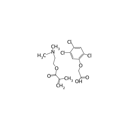 C=C(C)C(=O)OCCN(C)C.O=C(O)COc1cc(Cl)c(Cl)cc1Cl